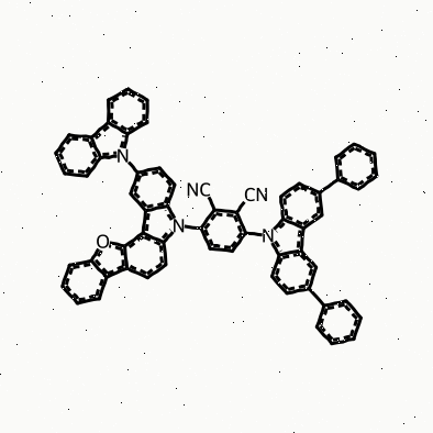 N#Cc1c(-n2c3ccc(-c4ccccc4)cc3c3cc(-c4ccccc4)ccc32)ccc(-n2c3ccc(-n4c5ccccc5c5ccccc54)cc3c3c4oc5ccccc5c4ccc32)c1C#N